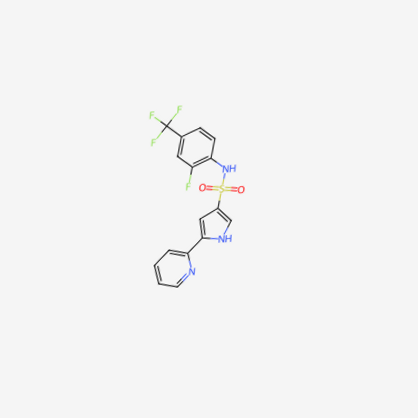 O=S(=O)(Nc1ccc(C(F)(F)F)cc1F)c1c[nH]c(-c2ccccn2)c1